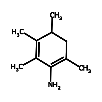 CC1=C(N)C(C)=C(C)C(C)C1